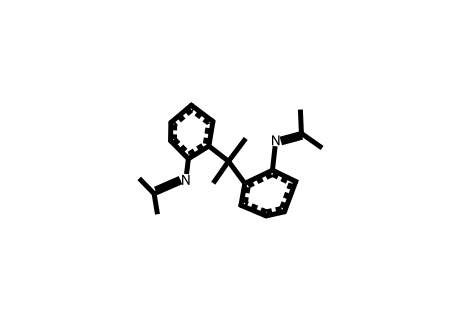 CC(C)=Nc1ccccc1C(C)(C)c1ccccc1N=C(C)C